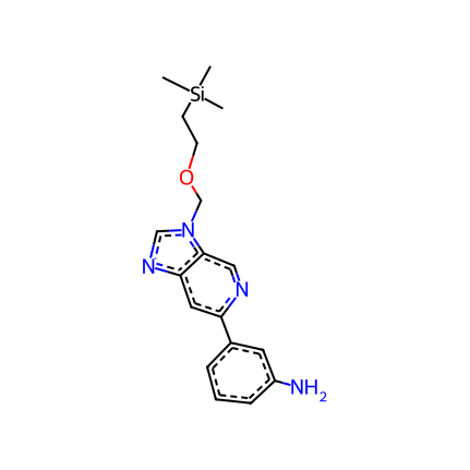 C[Si](C)(C)CCOCn1cnc2cc(-c3cccc(N)c3)ncc21